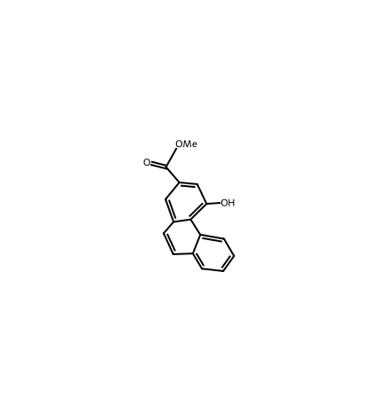 COC(=O)c1cc(O)c2c(ccc3ccccc32)c1